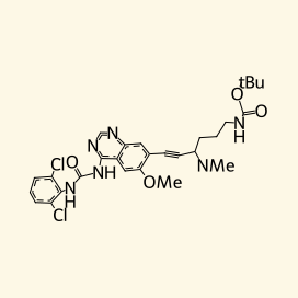 CNC(C#Cc1cc2ncnc(NC(=O)Nc3c(Cl)cccc3Cl)c2cc1OC)CCCNC(=O)OC(C)(C)C